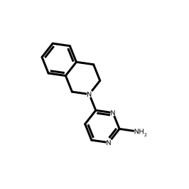 Nc1nccc(N2CCc3ccccc3C2)n1